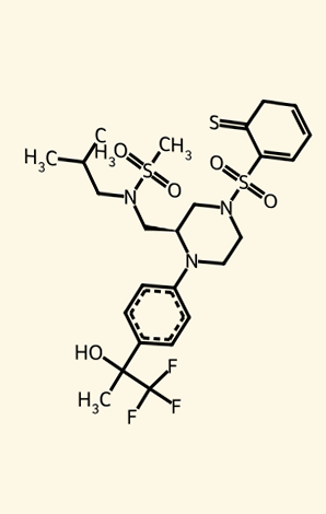 CC(C)CN(C[C@H]1CN(S(=O)(=O)C2=CC=CCC2=S)CCN1c1ccc(C(C)(O)C(F)(F)F)cc1)S(C)(=O)=O